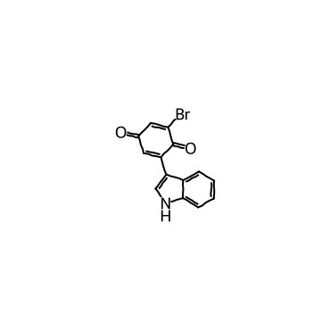 O=C1C=C(Br)C(=O)C(c2c[nH]c3ccccc23)=C1